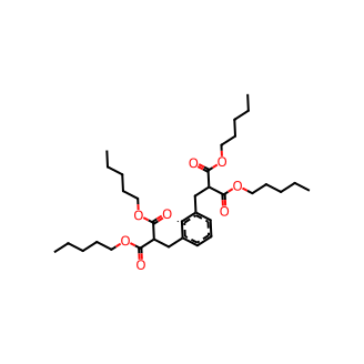 CCCCCOC(=O)C(Cc1[c]c(CC(C(=O)OCCCCC)C(=O)OCCCCC)ccc1)C(=O)OCCCCC